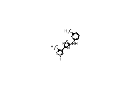 Cc1cccc(Nc2nc(-c3c[nH]nc3C)ns2)n1